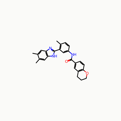 Cc1cc2nc(-c3cc(NC(=O)c4ccc5c(c4)CCCO5)ccc3C)[nH]c2cc1C